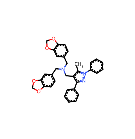 Cc1c(CN(Cc2ccc3c(c2)OCO3)Cc2ccc3c(c2)OCO3)c(-c2ccccc2)nn1-c1ccccc1